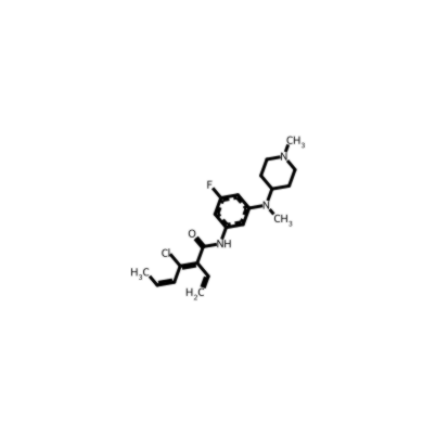 C=C/C(C(=O)Nc1cc(F)cc(N(C)C2CCN(C)CC2)c1)=C(Cl)\C=C/C